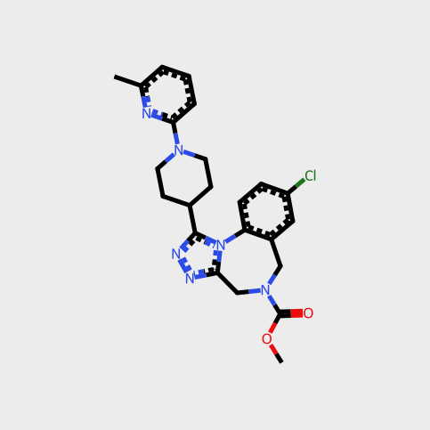 COC(=O)N1Cc2cc(Cl)ccc2-n2c(nnc2C2CCN(c3cccc(C)n3)CC2)C1